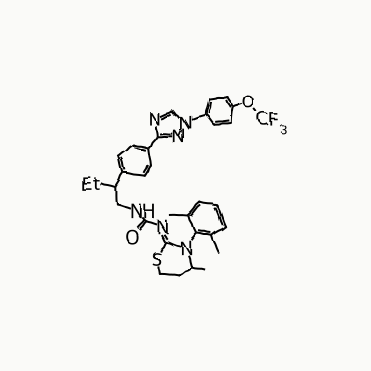 CCC(CNC(=O)/N=C1\SCCC(C)N1c1c(C)cccc1C)c1ccc(-c2ncn(-c3ccc(OC(F)(F)F)cc3)n2)cc1